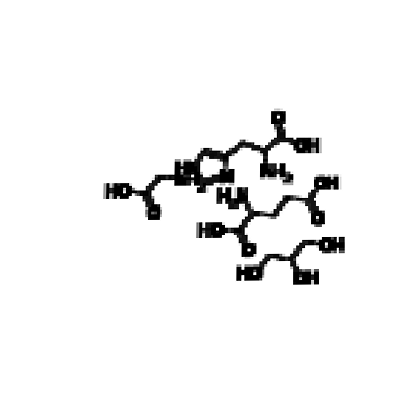 NC(CCC(=O)O)C(=O)O.NC(Cc1c[nH]cn1)C(=O)O.NCC(=O)O.OCC(O)CO